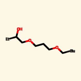 CCC(C)COCCCOCC(O)CC